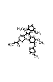 C=CC(=O)N1CC=C(c2c(-c3ccc(Oc4cccc(C)n4)c(OC)c3)c3c(N)ncnc3n2C)CC1